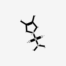 CC1=C(C)CN(S(=O)(=O)N(C)C)C1